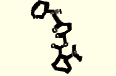 CN(C)c1ccccc1C(=O)OC(=O)/C=C\C(=O)Nc1cccnc1